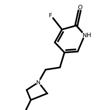 O=c1[nH]cc(CCN2CC(F)C2)cc1F